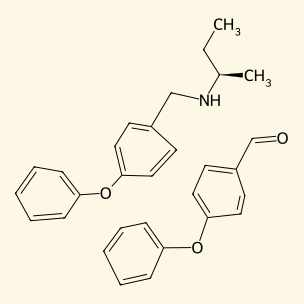 CC[C@@H](C)NCc1ccc(Oc2ccccc2)cc1.O=Cc1ccc(Oc2ccccc2)cc1